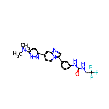 CN(C)c1ccc(-c2ccn3c(-c4cccc(NC(=O)NCC(F)(F)F)c4)cnc3c2)nn1